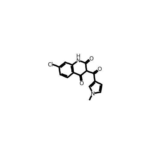 Cn1ccc(C(=O)C2C(=O)Nc3cc(Cl)ccc3C2=O)c1